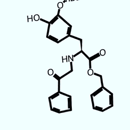 CCCCOc1cc(C[C@H](NCC(=O)c2ccccc2)C(=O)OCc2ccccc2)ccc1O